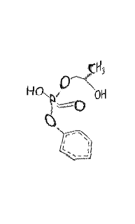 CC(O)OP(=O)(O)Oc1ccccc1